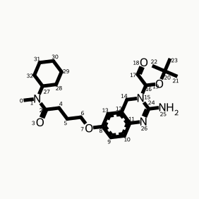 CN(C(=O)CCCOc1ccc2c(c1)CN(C(C=O)OC(C)(C)C)C(N)=N2)C1CCCCC1